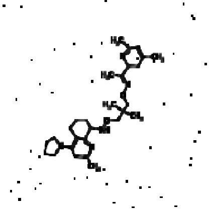 C/C(=N\OCC(C)(C)CONC1CCCc2c(N3CCCC3)cc(C)nc21)c1cc(C)cc(C)n1